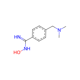 CN(C)Cc1ccc(C(=N)NO)cc1